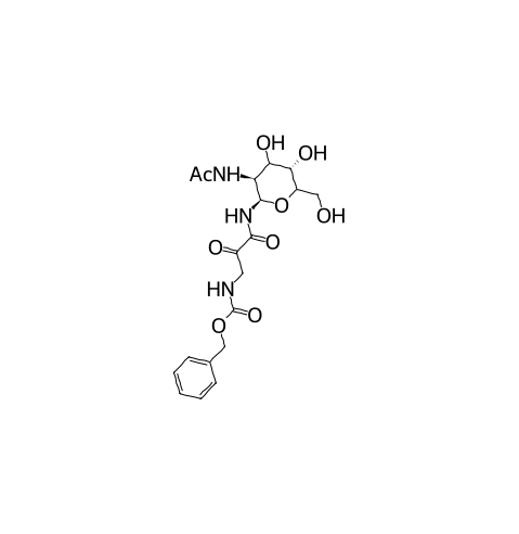 CC(=O)N[C@H]1C(O)[C@H](O)C(CO)O[C@H]1NC(=O)C(=O)CNC(=O)OCc1ccccc1